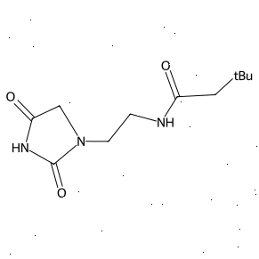 CC(C)(C)CC(=O)NCCN1CC(=O)NC1=O